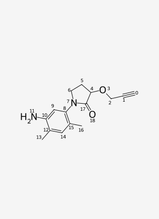 C#CCOC1CCN(c2cc(N)c(C)cc2C)C1=O